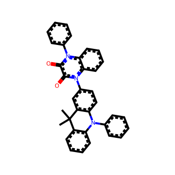 CC1(C)c2ccccc2N(c2ccccc2)c2ccc(-n3c(=O)c(=O)n(-c4ccccc4)c4ccccc43)cc21